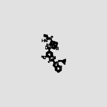 C=CC(=N)N(C)[C@@H]1C2C[C@@H]3CN(C(=O)c4cc(OC)c5c(c4)nc(-c4cc6cccnc6n4CC4CC4)n5C)[C@H]1[C@H]23